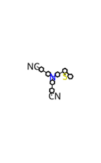 N#Cc1ccc(-c2ccc(N(c3ccc(-c4ccc(C#N)cc4)cc3)c3ccc(-c4cccc5c4sc4ccccc45)cc3)cc2)cc1